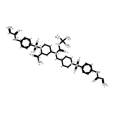 C=CC(=O)Nc1ccc(S(=O)(=O)N2CCC(CN(C(=O)OC(C)(C)C)C3CCN(S(=O)(=O)c4ccc(NC(=O)C=C)cc4)C(C(N)=O)C3)CC2)cc1